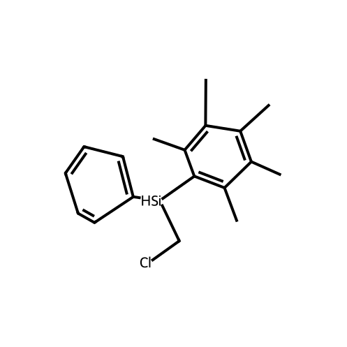 Cc1c(C)c(C)c([SiH](CCl)c2ccccc2)c(C)c1C